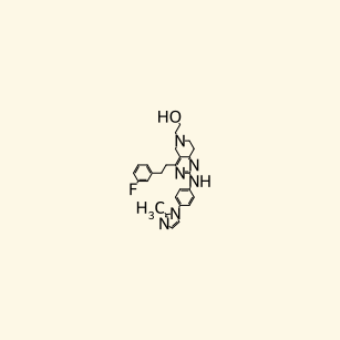 Cc1nccn1-c1ccc(Nc2nc(CCc3cccc(F)c3)c3c(n2)CCN(CCO)C3)cc1